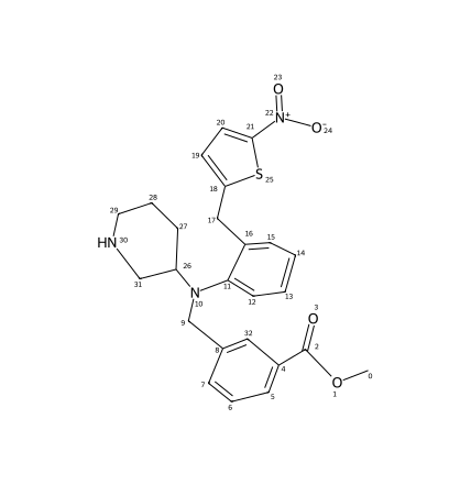 COC(=O)c1cccc(CN(c2ccccc2Cc2ccc([N+](=O)[O-])s2)C2CCCNC2)c1